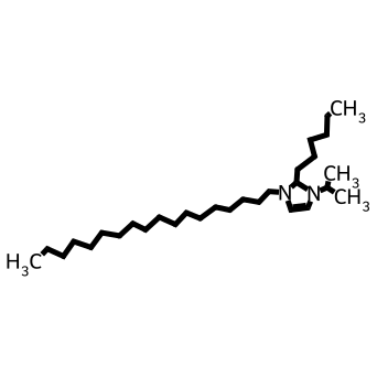 CCCCCCCCCCCCCCCCCCN1C=CN(C(C)C)C1CCCCCC